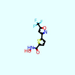 O=C(NO)c1ccc(-c2cc(C(F)(F)F)on2)s1